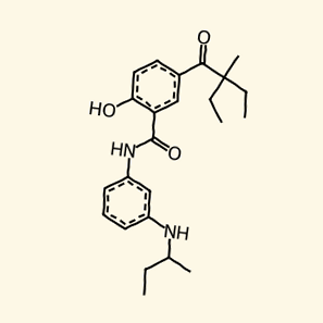 CCC(C)Nc1cccc(NC(=O)c2cc(C(=O)C(C)(CC)CC)ccc2O)c1